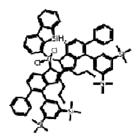 CCCCC1=Cc2c(ccc(-c3ccccc3)c2-c2cc([Si](C)(C)C)cc([Si](C)(C)C)c2)[CH]1[Zr]([Cl])([Cl])([c]1cccc2c1[SiH2]c1ccccc1-2)[CH]1C(CCCC)=Cc2c1ccc(-c1ccccc1)c2-c1cc([Si](C)(C)C)cc([Si](C)(C)C)c1